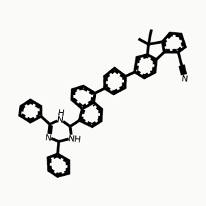 CC1(C)c2cc(-c3ccc(-c4cccc5c(C6NC(c7ccccc7)=NC(c7ccccc7)N6)cccc45)cc3)ccc2-c2c(C#N)cccc21